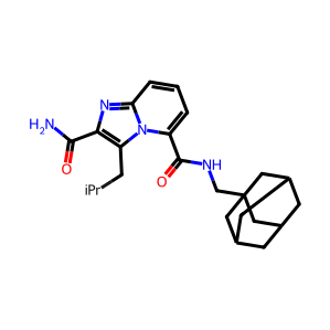 CC(C)Cc1c(C(N)=O)nc2cccc(C(=O)NCC34CC5CC(CC(C5)C3)C4)n12